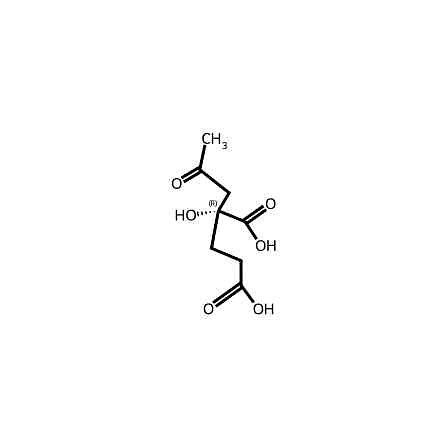 CC(=O)C[C@](O)(CCC(=O)O)C(=O)O